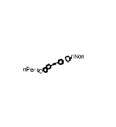 CCCCCCCCC[C@H]1CC[C@H](c2ccc(C#Cc3ccc4cc(OCCCCC)ccc4c3)cc2)CC1